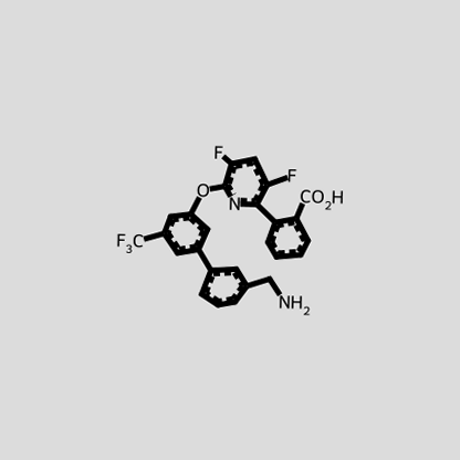 NCc1cccc(-c2cc(Oc3nc(-c4ccccc4C(=O)O)c(F)cc3F)cc(C(F)(F)F)c2)c1